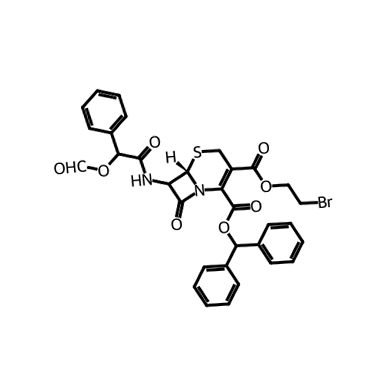 O=COC(C(=O)NC1C(=O)N2C(C(=O)OC(c3ccccc3)c3ccccc3)=C(C(=O)OCCBr)CS[C@@H]12)c1ccccc1